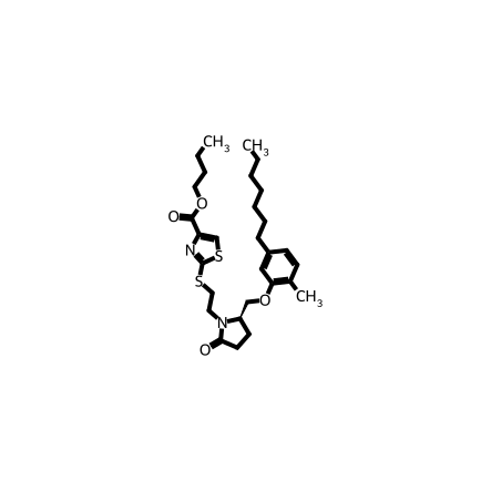 CCCCCCCc1ccc(C)c(OC[C@H]2CCC(=O)N2CCSc2nc(C(=O)OCCCC)cs2)c1